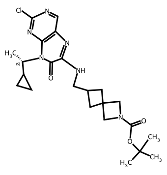 C[C@@H](C1CC1)n1c(=O)c(NCC2CC3(C2)CN(C(=O)OC(C)(C)C)C3)nc2cnc(Cl)nc21